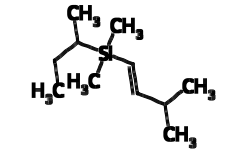 CCC(C)[Si](C)(C)C=CC(C)C